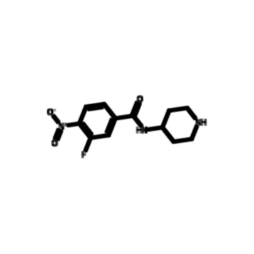 O=C(NC1CCNCC1)c1ccc([N+](=O)[O-])c(F)c1